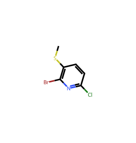 CSc1ccc(Cl)nc1Br